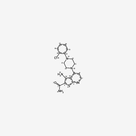 NC(=O)c1sc2nccc(N3CCN(c4ccccc4Cl)CC3)c2c1N